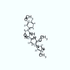 COc1cccc(C2CON=C(c3ccc(-n4cnc(C)c4)c(OC)n3)N2)c1